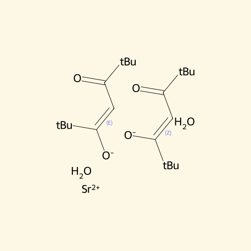 CC(C)(C)C(=O)/C=C(/[O-])C(C)(C)C.CC(C)(C)C(=O)/C=C(\[O-])C(C)(C)C.O.O.[Sr+2]